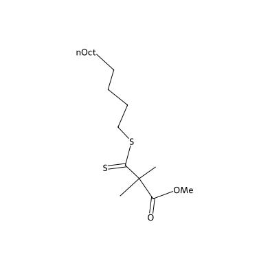 CCCCCCCCCCCCSC(=S)C(C)(C)C(=O)OC